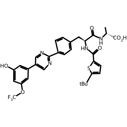 C[C@@H](NC(=O)[C@H](Cc1ccc(-c2ncc(-c3cc(O)cc(OC(F)(F)F)c3)cn2)cc1)NC(=O)c1ccc(C(C)(C)C)s1)C(=O)O